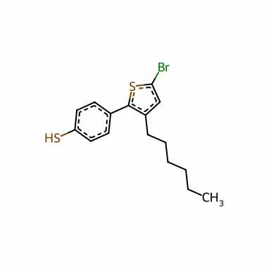 CCCCCCc1cc(Br)sc1-c1ccc(S)cc1